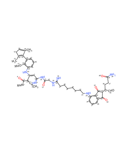 C=C=C(C(=O)NC)/C(=C\C(=N)NC(=O)CNC(=N)CCCCCCCNc1cccc2c1C(=O)C(C(C=O)CCC(N)=O)C2=O)Nc1cccc(C2=C(C)CC=C2C)c1OC